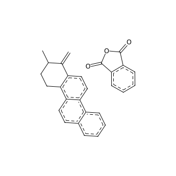 C=C1c2ccc3c(ccc4ccccc43)c2CCC1C.O=C1OC(=O)c2ccccc21